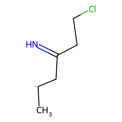 C[CH]CC(=N)CCCl